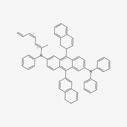 C=C/C=C\C=C(/C)N(c1ccccc1)c1ccc2c(-c3ccc4c(c3)C=CCC4)c3cc(N(c4ccccc4)c4ccccc4)ccc3c(C3C=Cc4ccccc4C3)c2c1